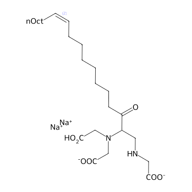 CCCCCCCC/C=C\CCCCCCCC(=O)C(CNCC(=O)[O-])N(CC(=O)[O-])CC(=O)O.[Na+].[Na+]